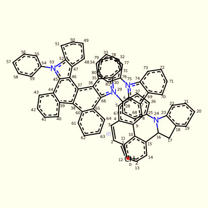 C=C/C=C\c1cc2c(cc1-c1ccccc1C1Cc3ccccc3N1c1ccc(-n3c4ccccc4c4c5c(c6ccccc6c6c5c5ccccc5n6-c5ccccc5)c5ccccc5c43)cc1)c1ccccc1n2-c1ccccc1